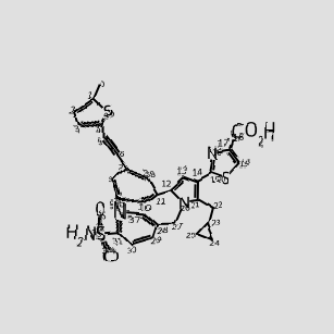 Cc1ccc(C#Cc2cccc(-c3cc(-c4nc(C(=O)O)cs4)c(CC4CC4)n3Cc3ccc(S(N)(=O)=O)nc3)c2)s1